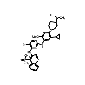 COc1nc(N2CCC(N(C)C)CC2)c(C2CC2)cc1Nc1ncc(Br)c(Nc2cnc3ccccc3c2P(C)(C)=O)n1